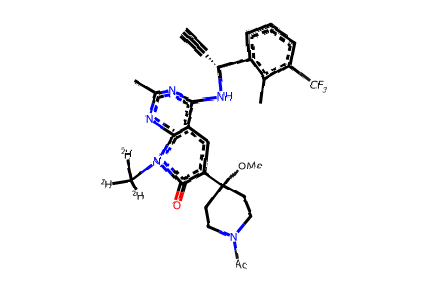 [2H]C([2H])([2H])n1c(=O)c(C2(OC)CCN(C(C)=O)CC2)cc2c(N[C@H](C#C)c3cccc(C(F)(F)F)c3C)nc(C)nc21